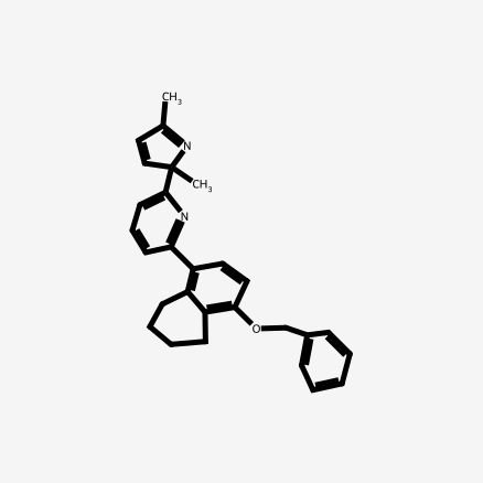 CC1=NC(C)(c2cccc(-c3ccc(OCc4ccccc4)c4c3CCCC4)n2)C=C1